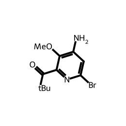 COc1c(N)cc(Br)nc1C(=O)C(C)(C)C